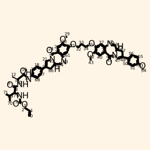 C=CCOC(=O)NC(C(=O)N[C@@H](C)C(=O)Nc1ccc(C2=CN3C(=O)c4cc(OC)c(OCCCOc5cc6c(cc5OC)C(=O)N5C=C(c7ccc(OC)cc7)C[C@H]5C=N6)cc4N=C[C@@H]3C2)cc1)C(C)C